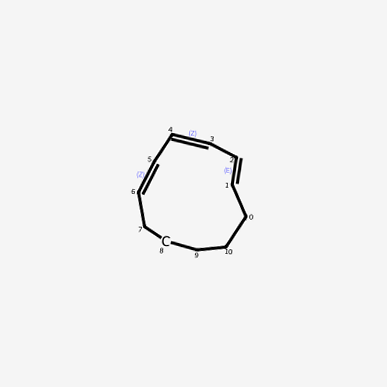 [CH]1/C=C/C=C\C=C/CCCC1